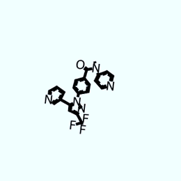 CN(C(=O)c1ccc(-n2nc(C(F)(F)F)cc2-c2cccnc2)cc1)c1ccncc1